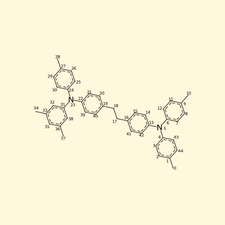 Cc1ccc(N(c2ccc(C)cc2)c2ccc(CCc3ccc(N(c4ccc(C)cc4)c4cc(C)cc(C)c4)cc3)cc2)cc1